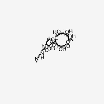 CC[C@H]1OC(=O)[C@H](C)[C@@H](O)[C@H](C)[C@@H](O[C@@H]2O[C@H](C)CC(N(C)C(=O)CNCCN(C)C)[C@H]2O)C(C)(O)C[C@@H](C)[C@H](O)[C@H](C)[C@@H](O)[C@]1(C)O